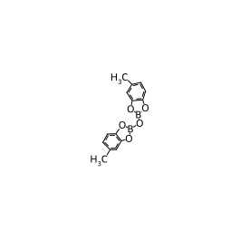 Cc1ccc2c(c1)OB(OB1Oc3ccc(C)cc3O1)O2